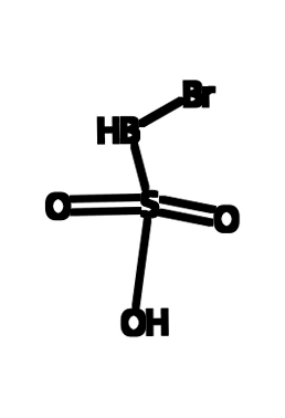 O=S(=O)(O)BBr